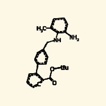 Cc1cccc(N)c1NCc1ccc(-c2ccccc2C(=O)OC(C)(C)C)cc1